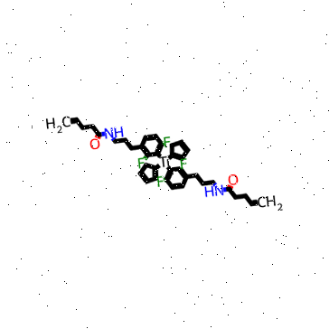 C=CCCC(=O)NCCCc1ccc(F)[c]([Ti]([C]2=CC=CC2)([C]2=CC=CC2)[c]2c(F)ccc(CCCNC(=O)CCC=C)c2F)c1F